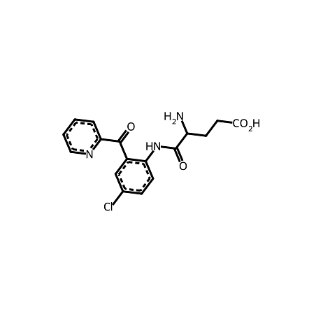 NC(CCC(=O)O)C(=O)Nc1ccc(Cl)cc1C(=O)c1ccccn1